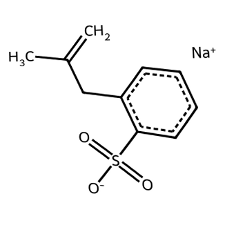 C=C(C)Cc1ccccc1S(=O)(=O)[O-].[Na+]